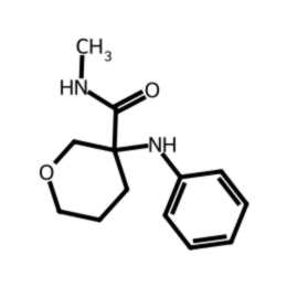 CNC(=O)C1(Nc2ccccc2)CCCOC1